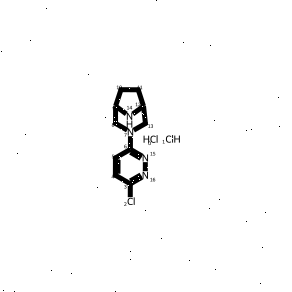 Cl.Cl.Clc1ccc(N2CC3CCC(C2)N3)nn1